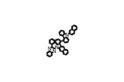 c1ccc(-c2nc3ccccc3nc2-n2c3cc4ccccc4cc3c3c(-c4cccc5c4c4ccccc4n5-c4ccc5ccccc5c4)cccc32)cc1